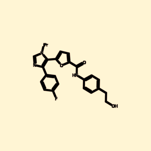 CC(C)n1cnc(-c2ccc(F)cc2)c1-c1ccc(C(=O)Nc2ccc(CCO)cc2)o1